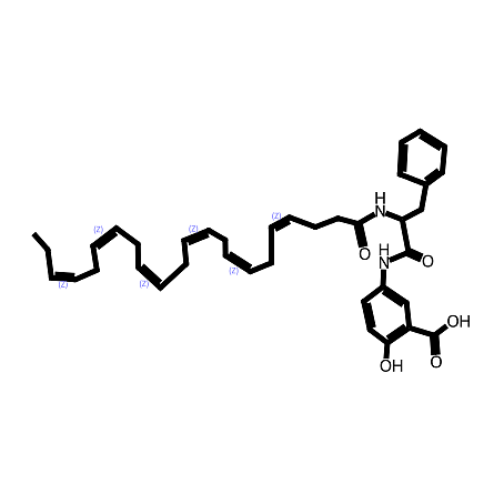 CC/C=C\C/C=C\C/C=C\C/C=C\C/C=C\C/C=C\CCC(=O)NC(Cc1ccccc1)C(=O)Nc1ccc(O)c(C(=O)O)c1